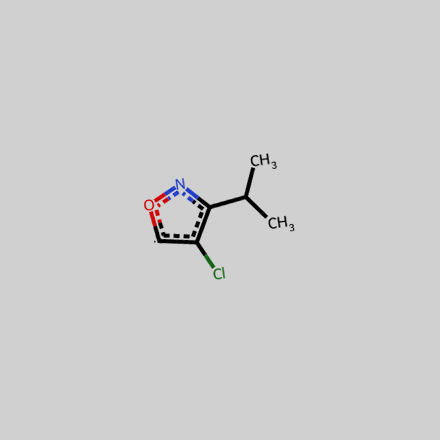 CC(C)c1no[c]c1Cl